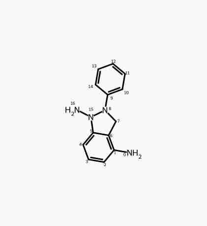 Nc1cccc2c1CN(c1ccccc1)N2N